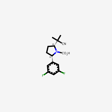 CC(C)(C#N)[C@H]1CC[C@@H](c2cc(F)cc(F)c2)N1C(=O)O